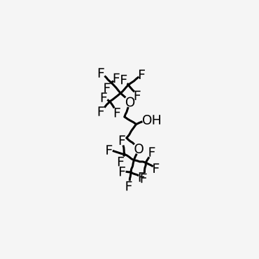 OC(COC(C(F)(F)F)(C(F)(F)F)C(F)(F)F)COC(C(F)(F)F)(C(F)(F)F)C(F)(F)F